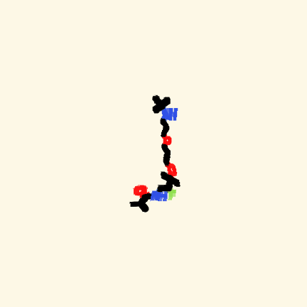 CC(C)C(=O)NCC(F)C(C)(C)OCCCOCCCNC(C)(C)C